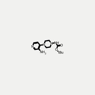 CC(C)(C)OC(=O)NN1CCN(c2ccncc2N)CC1